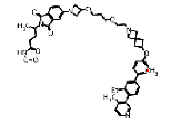 C\C=C(/C=C\C(=C/C)c1ccc(-c2cnccc2C)c(CC)c1)OC1CC2(C1)CN(CCOCCCOC1CN(c3ccc4c(c3)C(=O)N(C(C)CCC(=O)NC=O)C4=O)C1)C2